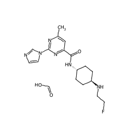 Cc1cc(C(=O)N[C@H]2CC[C@H](NCCF)CC2)nc(-n2ccnc2)n1.O=CO